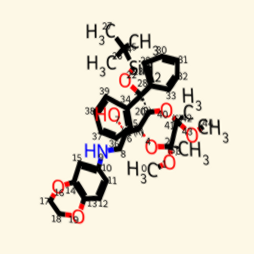 CO[C@@]1(C)O[C@H]([C@@H](O)CNc2ccc3c(c2)OCCO3)[C@H](C(O[SiH2]C(C)(C)C)(c2ccccc2)c2ccccc2)O[C@]1(C)OC